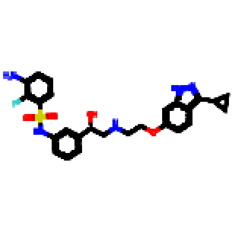 Nc1cccc(S(=O)(=O)Nc2cccc([C@@H](O)CNCCOc3ccc4c(C5CC5)n[nH]c4c3)c2)c1F